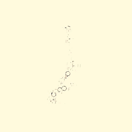 CC[C@@]1(OC=O)C(=O)OCc2c1cc1n(c2=O)Cc2c-1nc1cc(F)c(OC)cc1c2CN1CC[N+](C)(Cc2ccc(NC(=O)[C@H](C)NC(=O)CCOCCOCCNC(=O)CCCN3C(=O)C=CC3=O)cc2)CC1